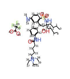 CCCCC1(CCCC)NS(=O)(=O)c2ccc(N(C)C)cc2[C@@H](c2cccc(NC(=O)CCCC[N+](CC)(CC)CC)c2)[C@H]1O.O=C([O-])C(F)(F)F